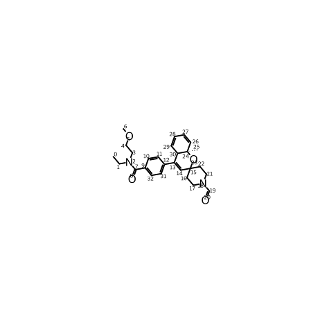 CCN(CCOC)C(=O)c1ccc(C2=CC3(CCN(C=O)CC3)O[C@]3(C)C=CC=CC23)cc1